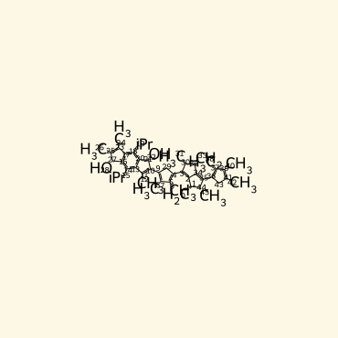 C=C1C2=C(C3=C(C)C(C)=C(C4=C(C)c5c(C(C)C)c6c(c(C(C)C)c5C4O)C(C)=C(C)C6O)C3)C(C)C(=C)C2=C(C2=C(C)C(C)=C(C)C2)C1C